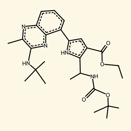 CCOC(=O)c1cc(-c2cccc3nc(C)c(NC(C)(C)C)nc23)[nH]c1C(C)NC(=O)OC(C)(C)C